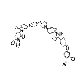 N#Cc1ccc(OC2CCC(C(=O)Nc3ccc(N4CCC(CN5CCN(c6ccc7c(c6)CN(C6CCC(=O)NC6=O)C7=O)CC5)CC4)cc3)CC2)cc1Cl